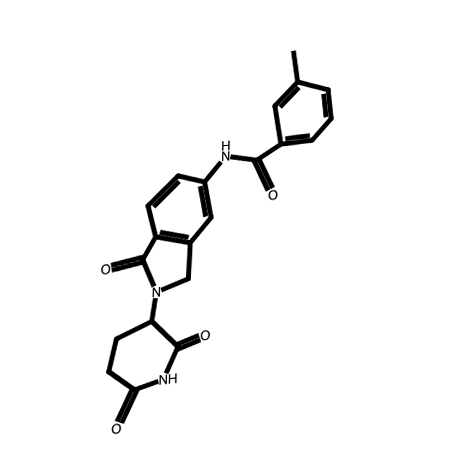 Cc1cccc(C(=O)Nc2ccc3c(c2)CN(C2CCC(=O)NC2=O)C3=O)c1